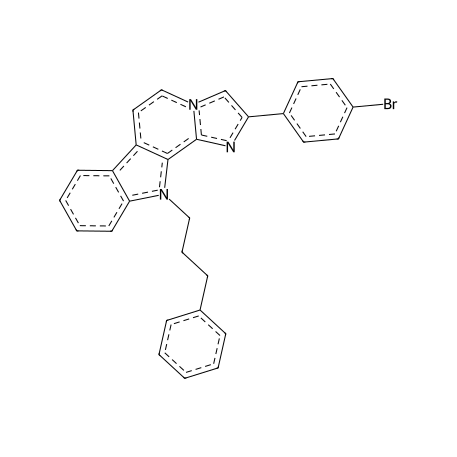 Brc1ccc(-c2cn3ccc4c5ccccc5n(CCCc5ccccc5)c4c3n2)cc1